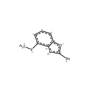 CSc1cccc2oc(S)nc12